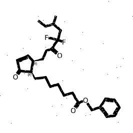 CCC(C)CC(F)(F)C(=O)CC[C@@H]1C=CC(=O)[C@@H]1CCCCCCC(=O)OCc1ccccc1